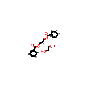 O=C(OCCCOC(=O)c1ccccc1)c1ccccc1.OCCO